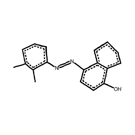 Cc1cccc(N=Nc2ccc(O)c3ccccc23)c1C